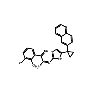 N=C(/C(N)=N\c1ncc(C2(c3ccc4ncccc4c3)CC2)[nH]1)c1cccc(Cl)c1Cl